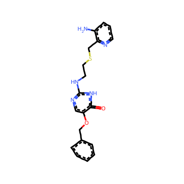 Nc1cccnc1CSCCNc1ncc(OCc2ccccc2)c(=O)[nH]1